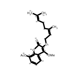 COc1c(OCC=C(C)CCC=C(C)C)c(=O)oc2c(OC(C)=O)cccc12